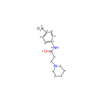 O=C(CCN1CCCCC1)Nc1ccc([N+](=O)[O-])cc1